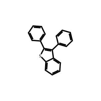 c1ccc(-c2sc3ccccc3c2-c2ccccc2)cc1